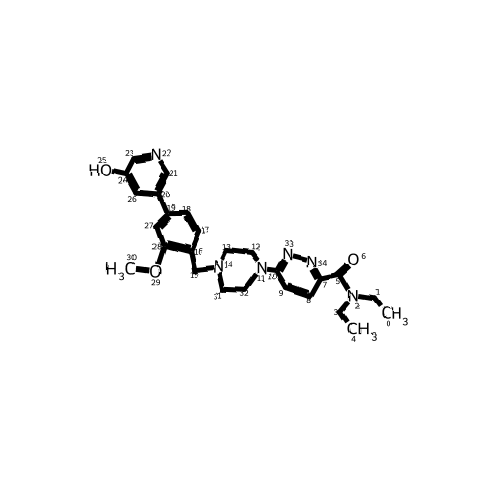 CCN(CC)C(=O)c1ccc(N2CCN(Cc3ccc(-c4cncc(O)c4)cc3OC)CC2)nn1